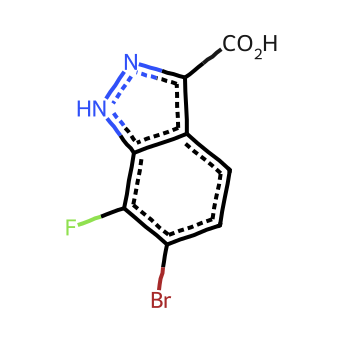 O=C(O)c1n[nH]c2c(F)c(Br)ccc12